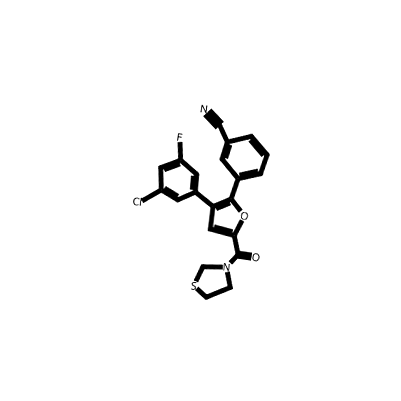 N#Cc1cccc(-c2oc(C(=O)N3CCSC3)cc2-c2cc(F)cc(Cl)c2)c1